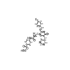 CCCCOC(=O)c1ccc(NC(=O)NCCn2cc(Cc3cncnc3)c(=O)nc2SCc2ccc(F)cc2)cc1